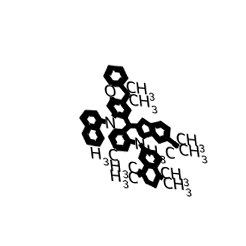 Cc1cc2c3c(c1)N(c1cccc4ccccc14)c1cc4c(cc1C3C1=C(c3cc(C(C)(C)C)ccc3C1)N2c1ccc2c(c1)C(C)(C)CCC2(C)C)C(C)(C)c1ccccc1O4